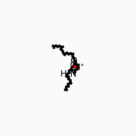 CC(C)CCCC(C)CCCC(C)CCCC(C)CCOCC(C[N+](C)(C)CCCN)OCCC(C)CCCC(C)CCCC(C)CCCC(C)C